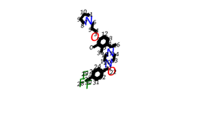 Cc1c(OCCCN2CCCC2)ccc(C(C)N2CCN(C(=O)c3ccc(C(F)(F)F)cc3)CC2)c1C